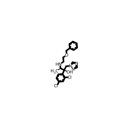 C[C@@H](NCCOCc1ccccc1)[C@](O)(Cn1cncn1)c1ccc(Cl)cc1Cl